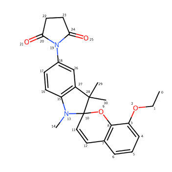 CCOc1cccc2c1OC1(C=C2)N(C)c2ccc(N3C(=O)CCC3=O)cc2C1(C)C